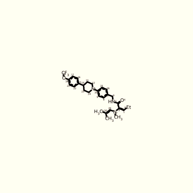 CC/C=C(\C(=O)NCc1ccc(N2CCC(c3ccc(OC(F)(F)F)cc3)CC2)cc1)N(C)C=C(C)C